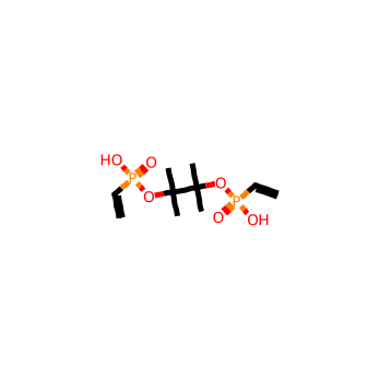 C=CP(=O)(O)OC(C)(C)C(C)(C)OP(=O)(O)C=C